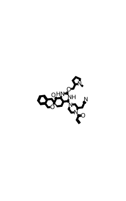 C=CC(=O)N1CCN(C2NC(OCC3CCCN3C)NC3C(=O)[C@@]4(CCC32)Cc2ccccc2CO4)CC1CC#N